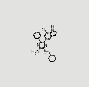 Nc1nc(-c2ccccc2)c(-c2cc(Cl)c3[nH]ncc3c2)nc1SCC1CCCCC1